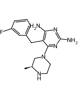 C[C@H]1CN(c2nc(N)nc(N)c2Cc2cccc(F)c2)CCN1